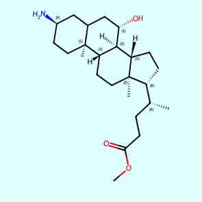 COC(=O)CC[C@@H](C)[C@H]1CC[C@H]2[C@@H]3[C@@H](O)CC4C[C@H](N)CC[C@]4(C)[C@H]3CC[C@]12C